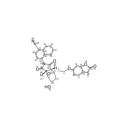 C[C@]12O[C@](CCOc3ccc4sc(=O)oc4c3)(C[C@@H]1O)[C@H]1C(=O)N(c3ccc(C#N)c4ccccc34)C(=O)[C@H]12